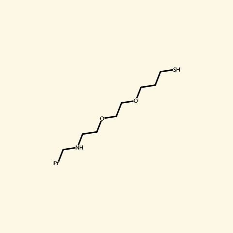 CC(C)CNCCOCCOCCCS